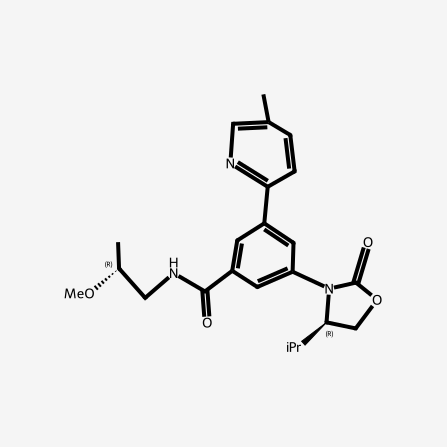 CO[C@H](C)CNC(=O)c1cc(-c2ccc(C)cn2)cc(N2C(=O)OC[C@H]2C(C)C)c1